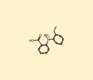 CCc1ccccc1N(N)c1ccccc1C(=O)O